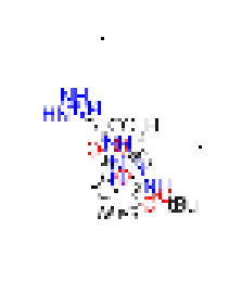 CSCC[C@H](NC(=O)OC(C)(C)C)C(=O)N1CCC[C@H]1C(=O)N[C@H](Cc1ccccc1)C(=O)N[C@@H](CCCNC(=N)N)C(=O)O